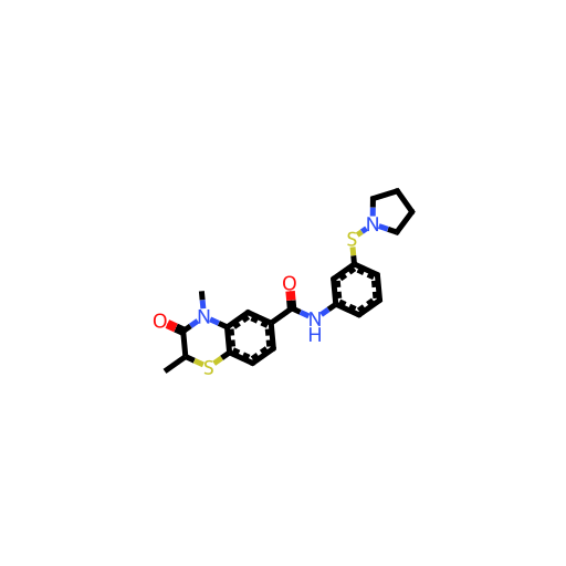 CC1Sc2ccc(C(=O)Nc3cccc(SN4CCCC4)c3)cc2N(C)C1=O